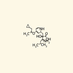 CC(C)C[C@H](N)[C@](O)(CC1C=C(O[C@H](C)CC2CC2)C=CN1)C(=O)O